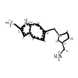 Cc1cc2ccc(CN3CCC(CN)C3)cc2[nH]1